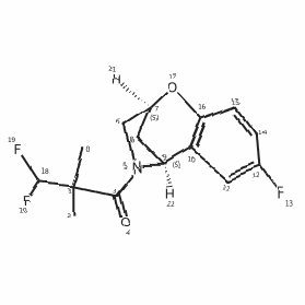 CC(C)(C(=O)N1C[C@@H]2C[C@H]1c1cc(F)ccc1O2)C(F)F